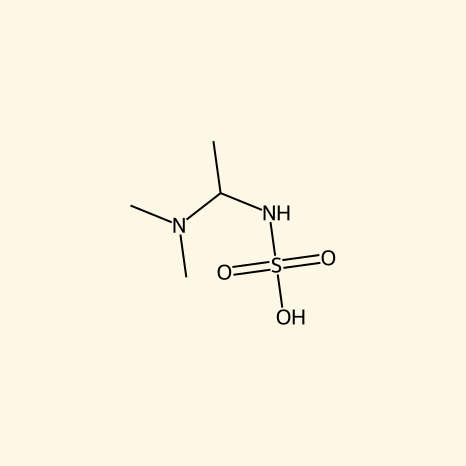 CC(NS(=O)(=O)O)N(C)C